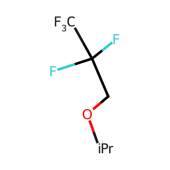 CC(C)OCC(F)(F)C(F)(F)F